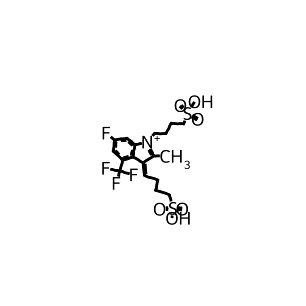 CC1=[N+](CCCCS(=O)(=O)O)c2cc(F)cc(C(F)(F)F)c2/C1=C/CCCS(=O)(=O)O